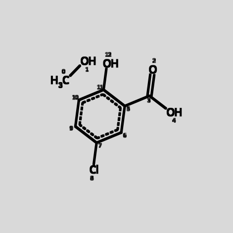 CO.O=C(O)c1cc(Cl)ccc1O